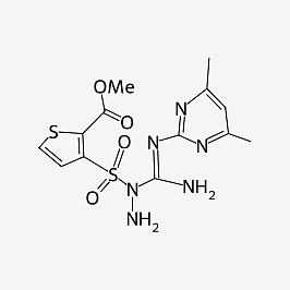 COC(=O)c1sccc1S(=O)(=O)N(N)C(N)=Nc1nc(C)cc(C)n1